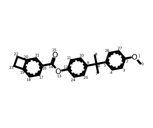 COc1ccc(C(C)(C)c2ccc(OC(=O)c3ccc4c(c3)CC4)cc2)cc1